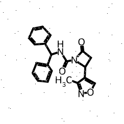 Cc1nocc1C1CC(=O)N1C(=O)NC(c1ccccc1)c1ccccc1